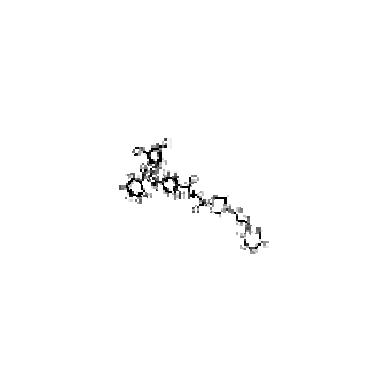 O=C(NCC(=O)N1CCN(CCCN2CCCCC2)CC1)c1ccc(S(=O)(=O)N(Oc2ccc(Cl)cc2Cl)c2ccccc2)cc1